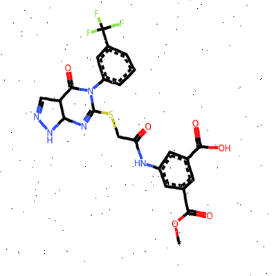 COC(=O)c1cc(NC(=O)CSC2=NC3NN=CC3C(=O)N2c2cccc(C(F)(F)F)c2)cc(C(=O)O)c1